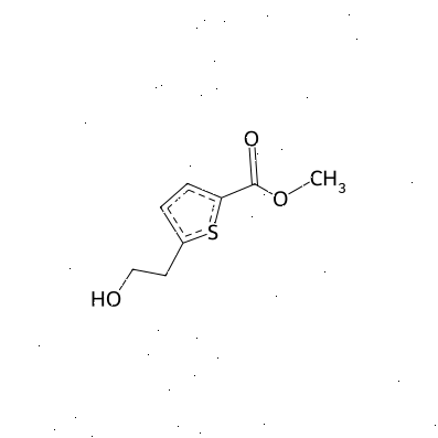 COC(=O)c1ccc(CCO)s1